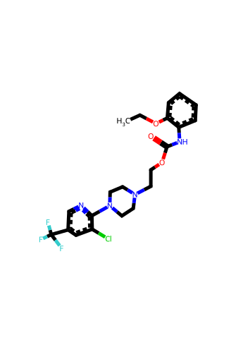 CCOc1ccccc1NC(=O)OCCN1CCN(c2ncc(C(F)(F)F)cc2Cl)CC1